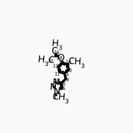 Cc1cc(Cc2cn(C)nn2)ccc1OC(C)C